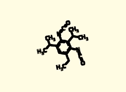 CCc1cc(C(C)C)c(N=C=O)c(C(C)C)c1N=C=O